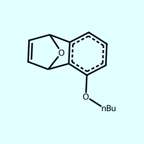 CCCCOc1cccc2c1C1C=CC2O1